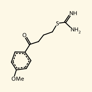 COc1ccc(C(=O)CCCSC(=N)N)cc1